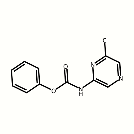 O=C(Nc1cncc(Cl)n1)Oc1ccccc1